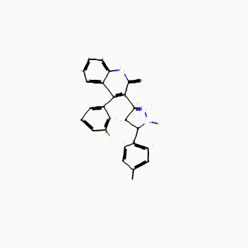 C=C1Nc2ccccc2C(c2cccc(F)c2)=C1C1=NN(C)C(c2ccc(C)cc2)C1